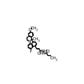 CCCC(=O)NNC(=O)/C=C/c1ccc(C2(C)c3ccc(OC)cc3CCN2c2ccc(F)cc2)cc1